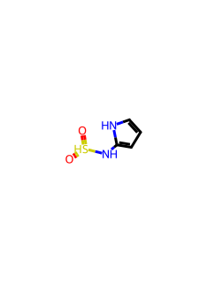 O=[SH](=O)Nc1ccc[nH]1